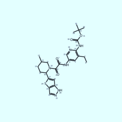 CCc1cc(NC(=O)C(=O)N2CC(C)CCC2c2cc3[nH]ncc3s2)cnc1NC(=O)OC(C)(C)C